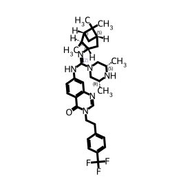 C[C@@H]1[C@@H](/N=C(/Nc2ccc3c(=O)n(CCc4ccc(C(F)(F)F)cc4)cnc3c2)N2C[C@@H](C)N[C@@H](C)C2)C[C@@H]2C[C@H]1C2(C)C